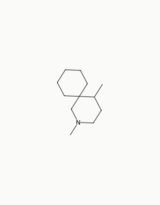 CC1CCN(C)CC12CCCCC2